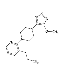 [CH2]CCc1cccnc1N1CCN(c2nsnc2OC)CC1